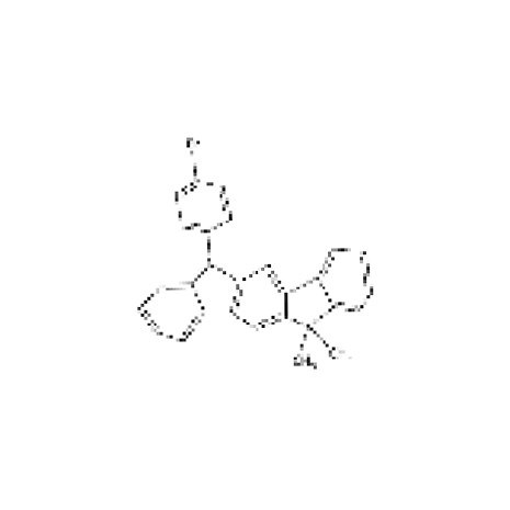 CC1(C)c2ccccc2-c2cc3c(cc21)c1ccccc1n3-c1ccc(Br)cc1